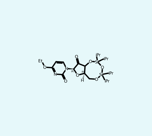 CCOc1ccn([C@@H]2O[C@@H]3CO[Si](C(C)C)(C(C)C)O[Si](C(C)C)(C(C)C)OC3C2=O)c(=O)n1